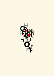 Cc1nnc(N2C[C@H]3CC[C@@H](C2)C3Nc2nc(Oc3cccc(C(F)(F)F)c3)n(C(C)C)n2)o1